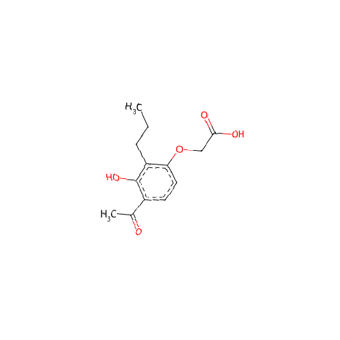 CCCc1c(OCC(=O)O)ccc(C(C)=O)c1O